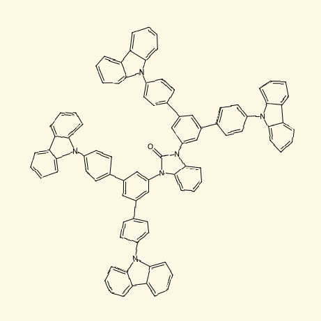 O=c1n(-c2cc(-c3ccc(-n4c5ccccc5c5ccccc54)cc3)cc(-c3ccc(-n4c5ccccc5c5ccccc54)cc3)c2)c2ccccc2n1-c1cc(-c2ccc(-n3c4ccccc4c4ccccc43)cc2)cc(-c2ccc(-n3c4ccccc4c4ccccc43)cc2)c1